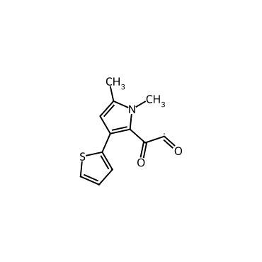 Cc1cc(-c2cccs2)c(C(=O)[C]=O)n1C